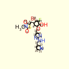 CN1C(=O)S/C(=C\c2cc(OCc3cnc(NCc4cccnc4)nc3)c(O)c(F)c2Br)C1=O